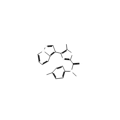 CN(C(=O)c1nc(-c2cnn3ccccc23)c(Cl)s1)c1ccc(F)cc1